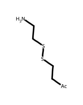 CC(=O)CCSSCCN